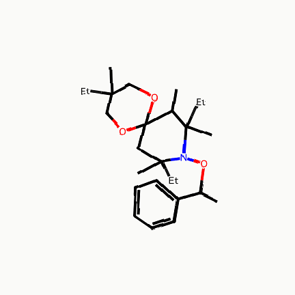 CCC1(C)COC2(CC(C)(CC)N(OC(C)c3ccccc3)C(C)(CC)C2C)OC1